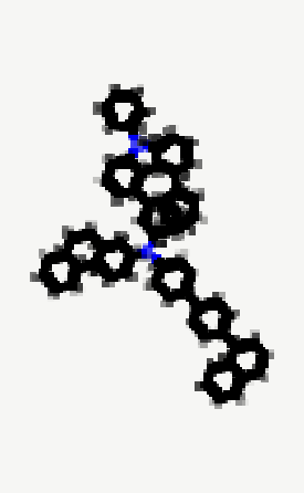 C1=C(c2ccc(-c3cccc4ccccc34)cc2)CCC(N(c2cccc(-c3cccc4c3c3c(-c5ccccc5)cccc3n4-c3ccccc3)c2)c2ccc3c(ccc4ccccc43)c2)=C1